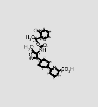 Cc1onc(-c2ccc(-c3cccc(C(=O)O)n3)cc2)c1NC(=O)OC(C)c1ccccc1Cl